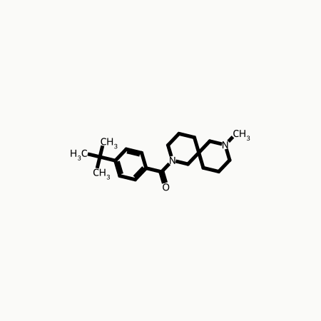 CN1CCCC2(CCCN(C(=O)c3ccc(C(C)(C)C)cc3)C2)C1